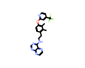 Cc1c(CCNc2ncnc3nccnc23)ccc(Oc2cc(C(F)(F)F)ccn2)c1C